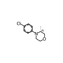 C[C@@H]1COCCN1c1ccc(Cl)cc1